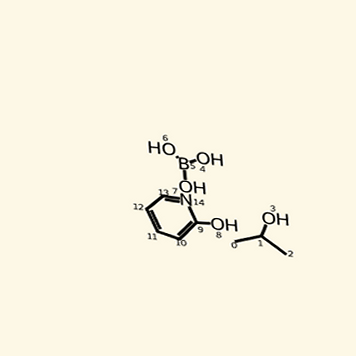 CC(C)O.OB(O)O.Oc1ccccn1